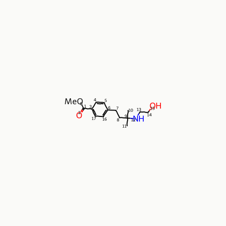 COC(=O)c1ccc(CCC(C)(C)NCCO)cc1